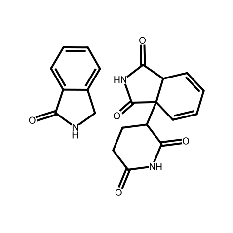 O=C1CCC(C23C=CC=CC2C(=O)NC3=O)C(=O)N1.O=C1NCc2ccccc21